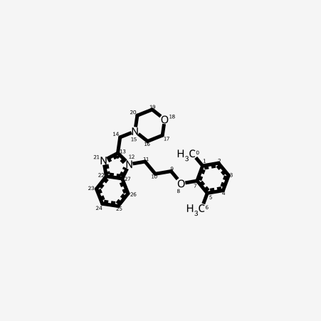 Cc1cccc(C)c1OCCCn1c(CN2CCOCC2)nc2ccccc21